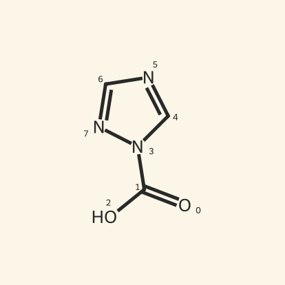 O=C(O)n1cncn1